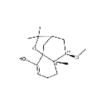 CO[C@@H]1CC2CC3(OC2(C)C)C(O)=CCC[C@@]13C